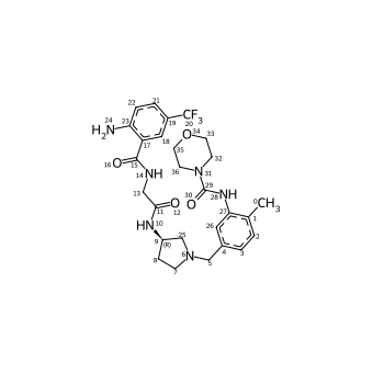 Cc1ccc(CN2CC[C@@H](NC(=O)CNC(=O)c3cc(C(F)(F)F)ccc3N)C2)cc1NC(=O)N1CCOCC1